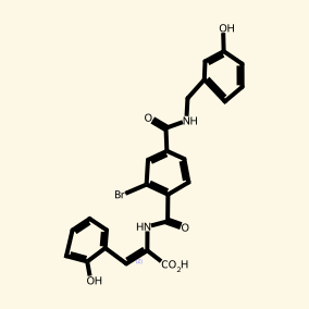 O=C(O)/C(=C/c1ccccc1O)NC(=O)c1ccc(C(=O)NCc2cccc(O)c2)cc1Br